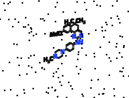 COc1ccc2c(c1)-c1nc(Nc3ccc(N4CCN(C)CC4)cc3)ncc1CC2(C)C